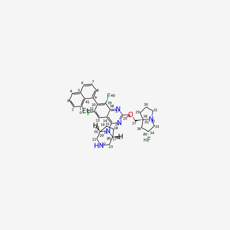 CCc1cccc2cccc(-c3c(F)cc4c(N5[C@@H]6CC[C@H]5CNC6)nc(OC[C@@]56CCCN5C[C@H](F)C6)nc4c3F)c12